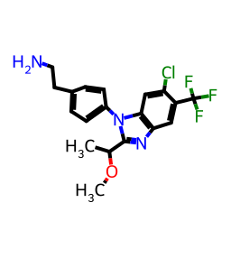 COC(C)c1nc2cc(C(F)(F)F)c(Cl)cc2n1-c1ccc(CCN)cc1